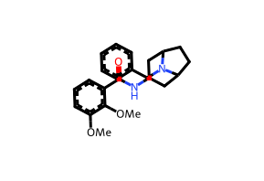 COc1cccc(C(=O)NC2CC3CCC(C2)N3Cc2ccccc2)c1OC